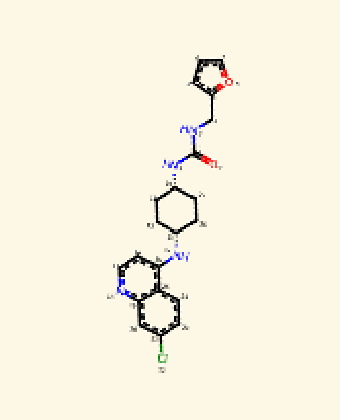 O=C(NCc1ccco1)N[C@H]1CC[C@@H](Nc2ccnc3cc(Cl)ccc23)CC1